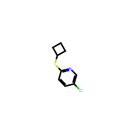 Clc1ccc(SC2CCC2)nc1